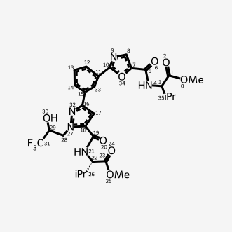 COC(=O)C(NC(=O)c1cnc(-c2cccc(-c3cc(C(=O)N[C@H](C(=O)OC)C(C)C)n(CC(O)C(F)(F)F)n3)c2)o1)C(C)C